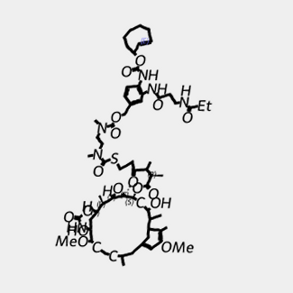 CCC(=O)NCCC(=O)Nc1cc(COC(=O)N(C)CCN(C)C(=O)SCCC(=O)C(C)[C@@H](C)C(=O)O[C@H]2CC(O)C(C)C3CC(=CC(OC)=C3C)CC(C)CCCC(OC)C3(O)C[C@H](OC(=O)N3)[C@@H](C)[C@@H]3O[C@@]23C)ccc1NC(=O)OC1/C=C/CCCCC1